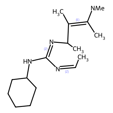 C/C=N\C(=N/C(C)/C(C)=C(\C)NC)NC1CCCCC1